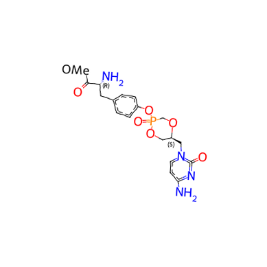 COC(=O)[C@H](N)Cc1ccc(OP2(=O)CO[C@@H](Cn3ccc(N)nc3=O)CO2)cc1